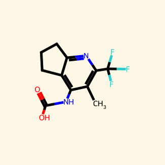 Cc1c(C(F)(F)F)nc2c(c1NC(=O)O)CCC2